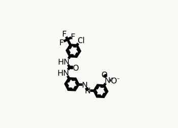 O=C(Nc1cccc(N=Nc2cccc([N+](=O)[O-])c2)c1)Nc1ccc(Cl)c(C(F)(F)F)c1